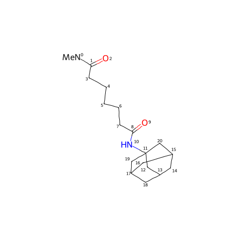 CNC(=O)CCCCCC(=O)NC12CC3CC(CC(C3)C1)C2